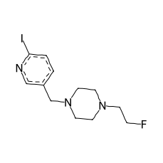 FCCN1CCN(Cc2ccc(I)nc2)CC1